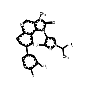 Cc1nn(C(C)C)cc1-n1c(=O)n(C)c2cnc3ccc(-c4cnc(F)c(N)c4)cc3c21